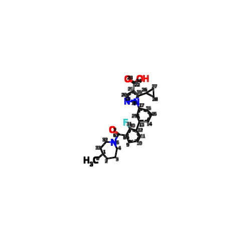 CC1CCCN(C(=O)c2cccc(-c3cccc(-n4ncc(C(=O)O)c4C4CC4)c3)c2F)CC1